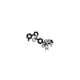 Cc1cccc(C2CCCN2C(=O)c2ccc(S(=O)(=O)Nc3nccs3)cc2)c1